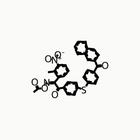 CC(=O)O/N=C(\C(=O)c1ccc(Sc2ccc(C(=O)c3ccc4ccccc4c3)cc2)cc1)c1cccc([N+](=O)[O-])c1C